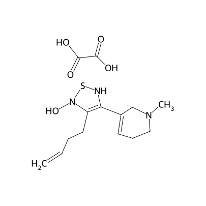 C=CCCC1=C(C2=CCCN(C)C2)NSN1O.O=C(O)C(=O)O